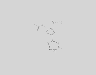 NC(=O)Nc1sc(-c2ccc(Cl)c(Cl)c2)cc1C(N)=O